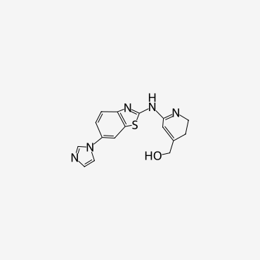 OCC1=CC(Nc2nc3ccc(-n4ccnc4)cc3s2)=NCC1